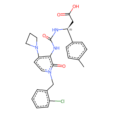 Cc1ccc([C@H](CC(=O)O)NC(=O)Nc2c(N3CCC3)ccn(Cc3ccccc3Cl)c2=O)cc1